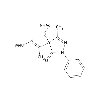 CO/N=C(\C)C1(ONC(C)=O)C(=O)N(c2ccccc2)N=C1C